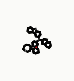 c1ccc(C2(c3ccc(N(c4ccc5ccccc5c4)c4ccc5sc6ccccc6c5c4)cc3)CCCCCCC2)cc1